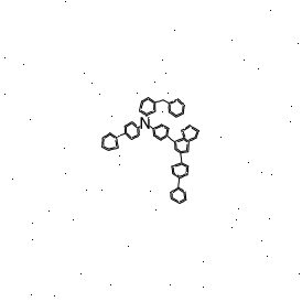 c1ccc(Cc2cccc(N(c3ccc(-c4ccccc4)cc3)c3ccc(-c4cc(-c5ccc(-c6ccccc6)cc5)cc5ccccc45)cc3)c2)cc1